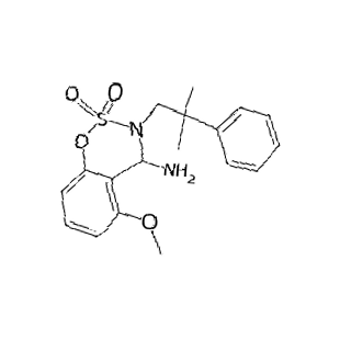 COc1cccc2c1C(N)N(CC(C)(C)c1ccccc1)S(=O)(=O)O2